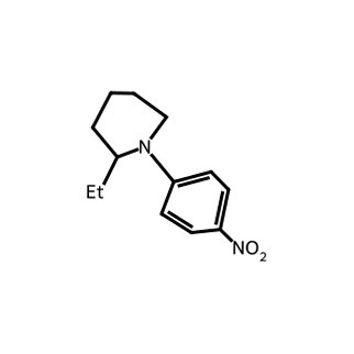 CCC1CCCCN1c1ccc([N+](=O)[O-])cc1